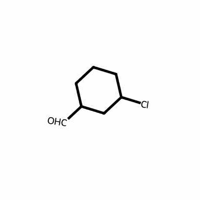 O=CC1CCCC(Cl)C1